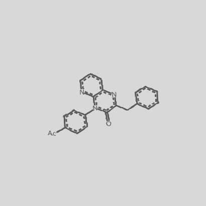 CC(=O)c1ccc(-n2c(=O)c(Cc3ccccc3)nc3cccnc32)cc1